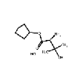 CC(C)(O)[C@H](N)C(=O)OC1CCCC1.Cl